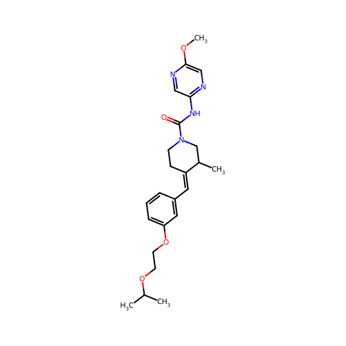 COc1cnc(NC(=O)N2CC/C(=C\c3cccc(OCCOC(C)C)c3)C(C)C2)cn1